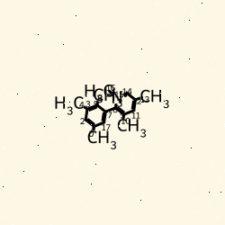 Cc1cc(C)c(C)c(-c2c(C)cc(C)c[n+]2C)c1